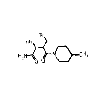 CCC[C@H](C(N)=O)[C@@H](CC(C)C)C(=O)N1CCC(C)CC1